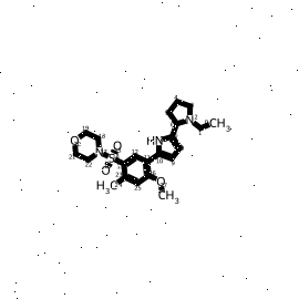 CCN1CCCC1c1ccc(-c2cc(S(=O)(=O)N3CCOCC3)c(C)cc2OC)[nH]1